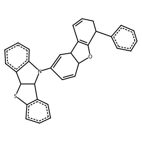 C1=CC2=C(OC3C=CC(N4c5ccccc5C5Sc6ccccc6C54)=CC23)C(c2ccccc2)C1